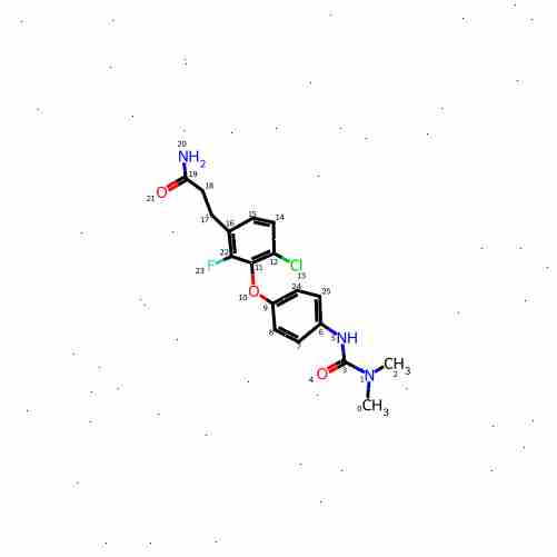 CN(C)C(=O)Nc1ccc(Oc2c(Cl)ccc([CH]CC(N)=O)c2F)cc1